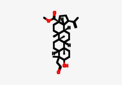 C=C(C)[C@@H]1CC[C@]2(C(=O)OC)CC[C@]3(C)[C@H](CC[C@@H]4[C@@]5(C)CCC(O)C(C)(CC=O)[C@@H]5CC[C@]43C)[C@@H]12